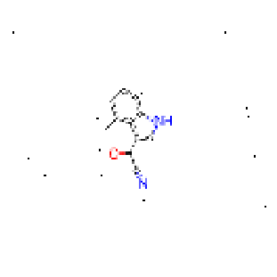 Cc1cccc2[nH]cc(C(=O)C#N)c12